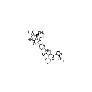 CNC(=O)C1(N2CC(C)CNC2=O)Cc2ccc(NC(=O)[C@@H](NC(=O)c3ccnn3C)C3CCCCC3)cc2C1